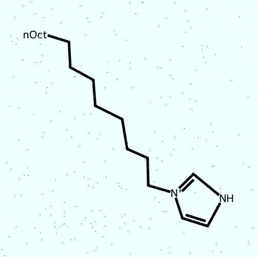 CCCCCCCCCCCCCCCC[n+]1cc[nH]c1